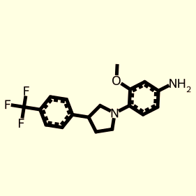 COc1cc(N)ccc1N1CCC(c2ccc(C(F)(F)F)cc2)C1